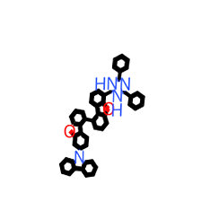 c1ccc(C2=NC(c3ccccc3)NC(c3cccc4c3oc3cccc(-c5cccc6oc7cc(-n8c9ccccc9c9ccccc98)ccc7c56)c34)N2)cc1